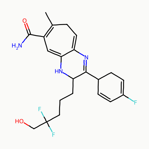 CC1=C(C(N)=O)C=C2NC(CCCC(F)(F)CO)C(C3C=CC(F)=CC3)=NC2=CC1